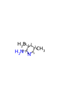 Bc1cc(C)cnc1N